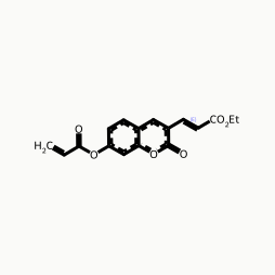 C=CC(=O)Oc1ccc2cc(/C=C/C(=O)OCC)c(=O)oc2c1